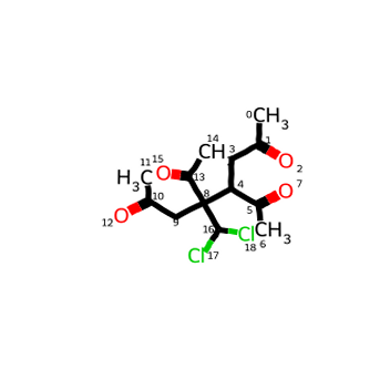 CC(=O)CC(C(C)=O)C(CC(C)=O)(C(C)=O)C(Cl)Cl